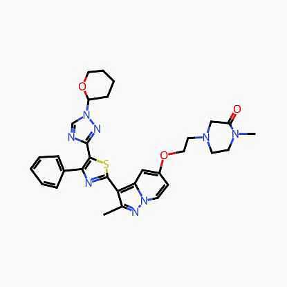 Cc1nn2ccc(OCCN3CCN(C)C(=O)C3)cc2c1-c1nc(-c2ccccc2)c(-c2ncn(C3CCCCO3)n2)s1